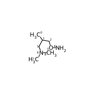 CC(CON)CN(C)C